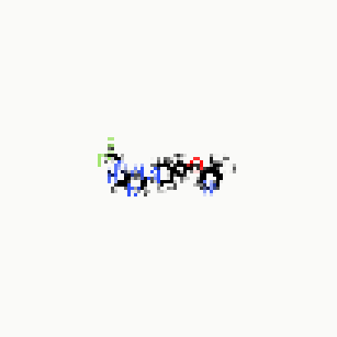 FC(F)Cn1ncc2ncc(N3CCC4(CC3)CC(Oc3cnccc3C(F)(F)F)C4)nc21